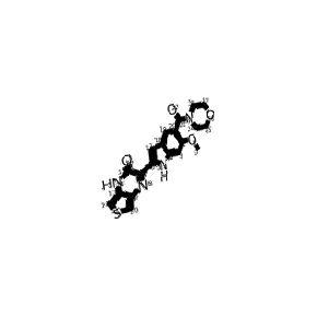 COc1cc2[nH]c(-c3nc4cscc4[nH]c3=O)cc2cc1C(=O)N1CCOCC1